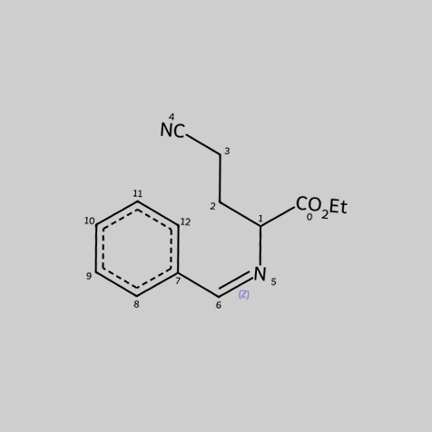 CCOC(=O)C(CCC#N)/N=C\c1ccccc1